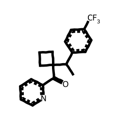 CC(c1ccc(C(F)(F)F)cc1)C1(C(=O)c2ccccn2)CCC1